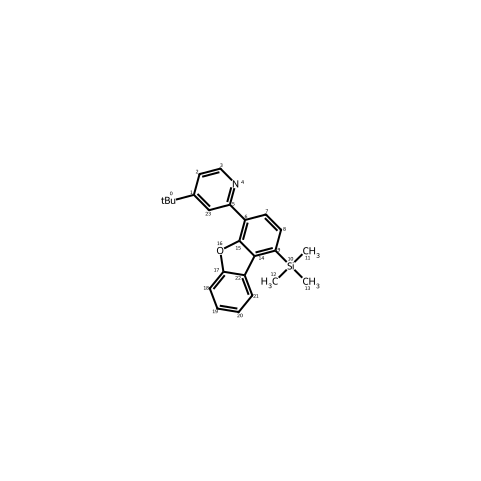 CC(C)(C)c1ccnc(-c2ccc([Si](C)(C)C)c3c2oc2ccccc23)c1